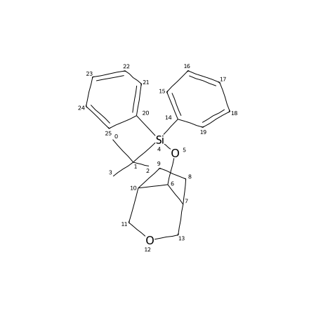 CC(C)(C)[Si](OC1C2CCC1COC2)(c1ccccc1)c1ccccc1